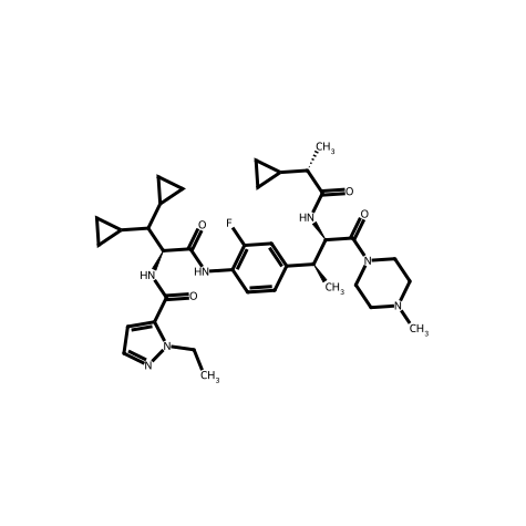 CCn1nccc1C(=O)N[C@H](C(=O)Nc1ccc([C@H](C)[C@@H](NC(=O)[C@@H](C)C2CC2)C(=O)N2CCN(C)CC2)cc1F)C(C1CC1)C1CC1